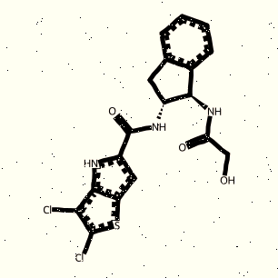 O=C(CO)N[C@@H]1c2ccccc2C[C@H]1NC(=O)c1cc2sc(Cl)c(Cl)c2[nH]1